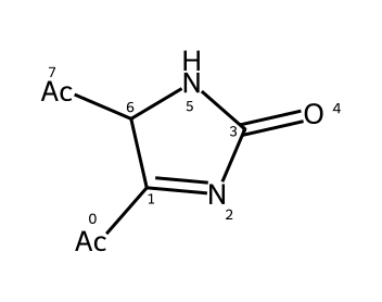 CC(=O)C1=NC(=O)NC1C(C)=O